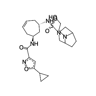 O=C(N[C@H]1CC=CC[C@H](NS(=O)(=O)N2CC3CCC(C2)N3CCO)C1)c1cc(C2CC2)on1